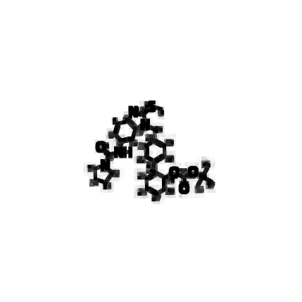 CSc1nc2ccc(NC(=O)N3CCCC3)cc2n1Cc1ccc(-c2ccccc2OC(=O)OC(C)(C)C)cc1